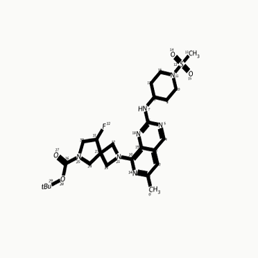 Cc1cc2cnc(NC3CCN(S(C)(=O)=O)CC3)nc2c(N2CC3(CN(C(=O)OC(C)(C)C)CC3F)C2)n1